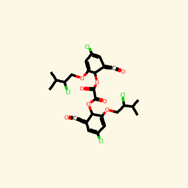 CC(C)C(Cl)COC1=CC(Cl)=CC(=C=O)C1OC(=O)C(=O)OC1C(=C=O)C=C(Cl)C=C1OCC(Cl)C(C)C